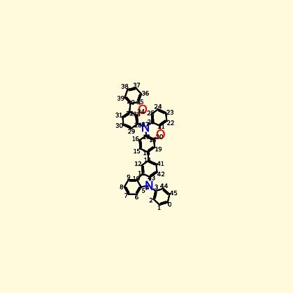 c1ccc(-n2c3ccccc3c3cc(-c4ccc5c(c4)Oc4ccccc4N5c4cccc5c4oc4ccccc45)ccc32)cc1